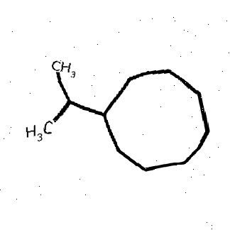 C[C](C)C1CCCCCCC1